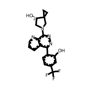 Oc1cc(C(F)(F)F)ccc1-c1nnc(N2C[C@H](O)C3(CC3)C2)c2ncccc12